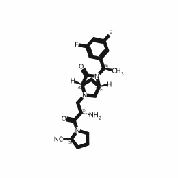 C[C@H](c1cc(F)cc(F)c1)N1C(=O)[C@@H]2C[C@H]1CN2C[C@H](N)C(=O)N1CCC[C@H]1C#N